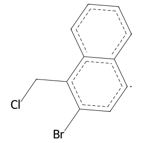 ClCc1c(Br)c[c]c2ccccc12